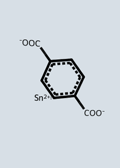 O=C([O-])c1ccc(C(=O)[O-])cc1.[Sn+2]